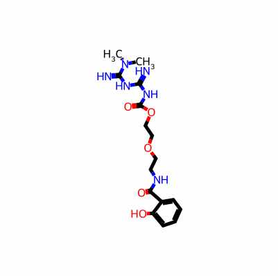 CN(C)C(=N)NC(=N)NC(=O)OCCOCCNC(=O)c1ccccc1O